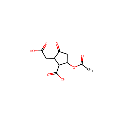 CC(=O)OC1CC(=O)C(CC(=O)O)C1C(=O)O